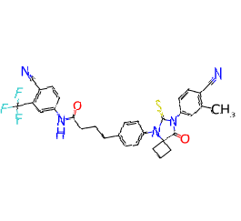 Cc1cc(N2C(=O)C3(CCC3)N(c3ccc(CCCC(=O)Nc4ccc(C#N)c(C(F)(F)F)c4)cc3)C2=S)ccc1C#N